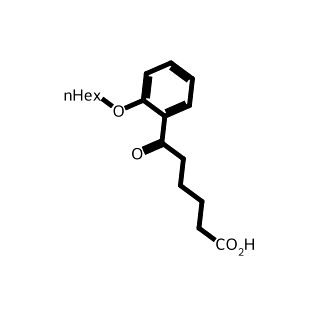 CCCCCCOc1ccccc1C(=O)CCCCC(=O)O